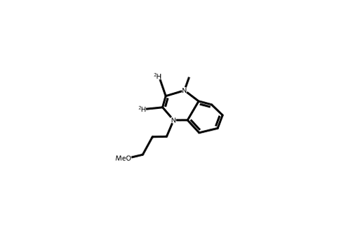 [2H]C1=C([2H])N(CCCOC)c2ccccc2N1C